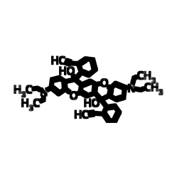 C#Cc1ccccc1C1(O)c2ccc(N(CC)CC)cc2Oc2cc3c(cc21)Oc1cc(N(CC)CC)ccc1C3(O)c1ccccc1C#C